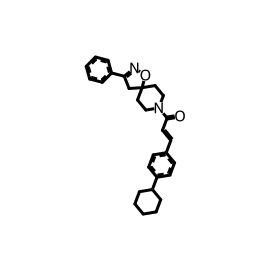 O=C(C=Cc1ccc(C2CCCCC2)cc1)N1CCC2(CC1)CC(c1ccccc1)=NO2